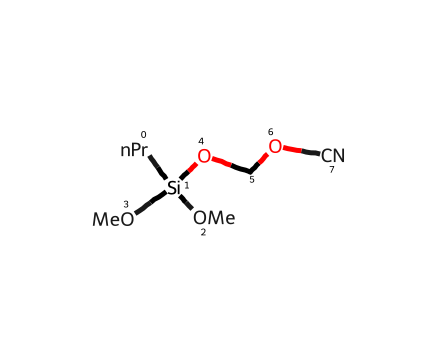 CCC[Si](OC)(OC)OCOC#N